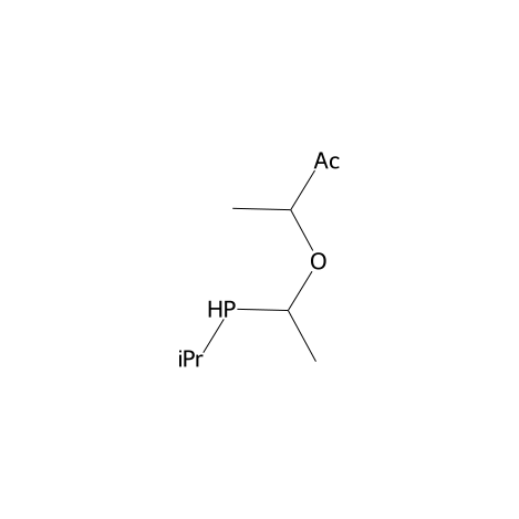 CC(=O)C(C)OC(C)PC(C)C